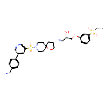 CNS(=O)(=O)c1cccc(OC[C@@H](O)CN[C@@H]2COC3(CCN(S(=O)(=O)c4cncc(-c5ccc(CN)cc5)c4)CC3)C2)c1